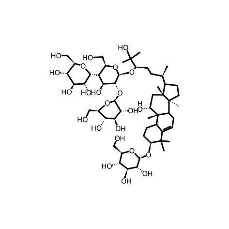 C[C@H](CC[C@@H](O[C@@H]1O[C@H](CO)C([C@H]2O[C@H](CO)[C@@H](O)[C@H](O)[C@H]2O)[C@H](O)[C@H]1O[C@@H]1O[C@H](CO)[C@@H](O)[C@H](O)[C@H]1O)C(C)(C)O)C1CC[C@@]2(C)C3CC=C4C(CC[C@H](O[C@@H]5O[C@H](CO)[C@@H](O)[C@H](O)[C@H]5O)C4(C)C)[C@]3(C)[C@H](O)C[C@]12C